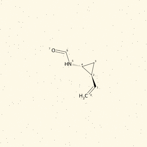 C=C[C@@H]1C[C@H]1NC=O